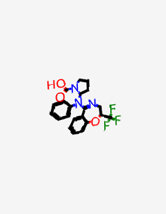 O=C(O)N1CCCC1N(C1=NCC(C(F)(F)F)Oc2ccccc21)c1ccccc1